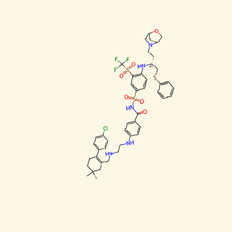 CC1(C)CCC(c2ccc(Cl)cc2)=C(CNCCNc2ccc(C(=O)NS(=O)(=O)c3ccc(N[C@H](CCN4CC5CC4CO5)CSc4ccccc4)c(S(=O)(=O)C(F)(F)F)c3)cc2)C1